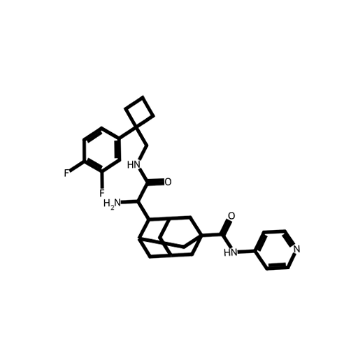 NC(C(=O)NCC1(c2ccc(F)c(F)c2)CCC1)C1C2CC3CC1CC(C(=O)Nc1ccncc1)(C3)C2